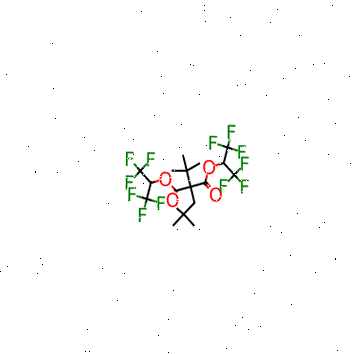 CC(C)(C)CC(C(=O)OC(C(F)(F)F)C(F)(F)F)(C(=O)OC(C(F)(F)F)C(F)(F)F)C(C)(C)C